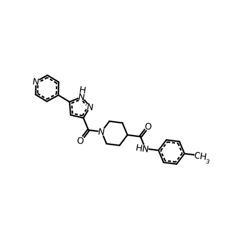 Cc1ccc(NC(=O)C2CCN(C(=O)c3cc(-c4ccncc4)[nH]n3)CC2)cc1